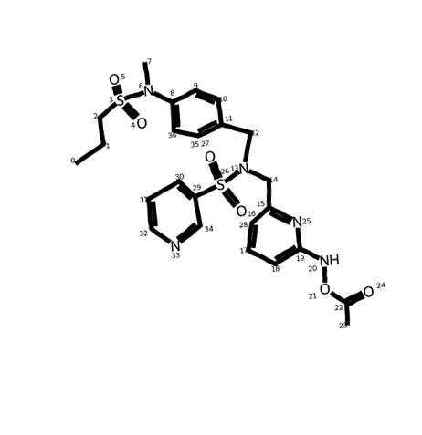 CCCS(=O)(=O)N(C)c1ccc(CN(Cc2cccc(NOC(C)=O)n2)S(=O)(=O)c2cccnc2)cc1